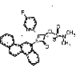 CN(C)S(=O)(=O)O[C@H]1C(=O)N(c2cc3c4ccccc4ccc3c3ccccc23)[C@@H]1c1ccc(F)cn1